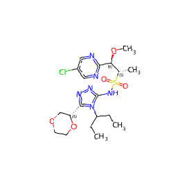 CCC(CC)n1c(NS(=O)(=O)[C@@H](C)[C@H](OC)c2ncc(Cl)cn2)nnc1[C@H]1COCCO1